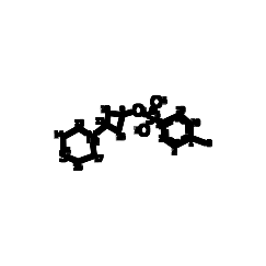 Cc1ccc(S(=O)(=O)OC2CC(N3CCSCC3)C2)cc1